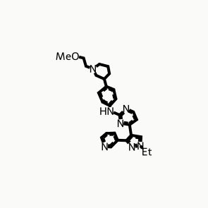 CCn1cc(-c2ccnc(Nc3ccc(C4CCCN(CCOC)C4)cc3)n2)c(-c2cccnc2)n1